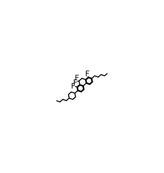 CCCCCc1ccc2c(c1F)CC(F)(F)c1c-2ccc(C2CCC(CCCC)CC2)c1F